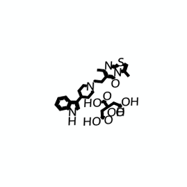 Cc1nc2scc(C)n2c(=O)c1CCN1CCC(c2c[nH]c3ccccc23)CC1.O=C(O)CC(O)(CC(=O)O)C(=O)O